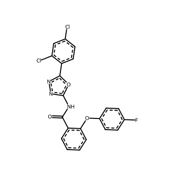 O=C(Nc1nnc(-c2ccc(Cl)cc2Cl)o1)c1ccccc1Oc1ccc(F)cc1